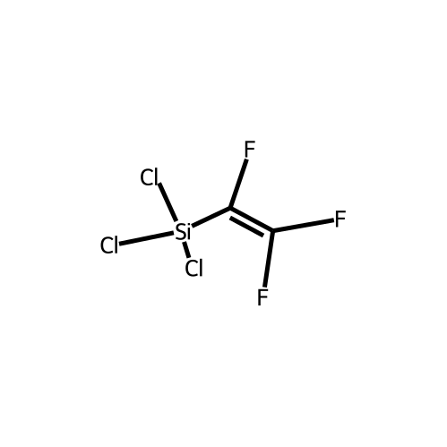 FC(F)=C(F)[Si](Cl)(Cl)Cl